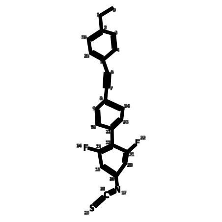 CCc1ccc(C#Cc2ccc(-c3c(F)cc(N=C=S)cc3F)cc2)cc1